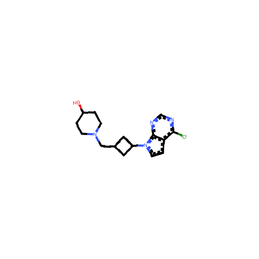 OC1CCN(CC2CC(n3ccc4c(Cl)ncnc43)C2)CC1